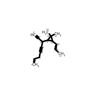 C#CC(C#CCC=C)C1C(C=CC)C1(C)C